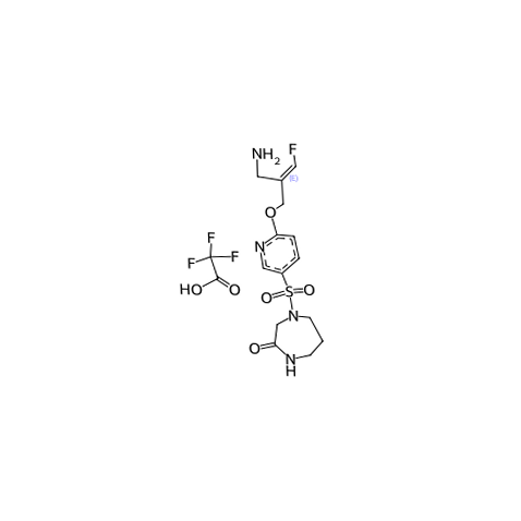 NC/C(=C\F)COc1ccc(S(=O)(=O)N2CCCNC(=O)C2)cn1.O=C(O)C(F)(F)F